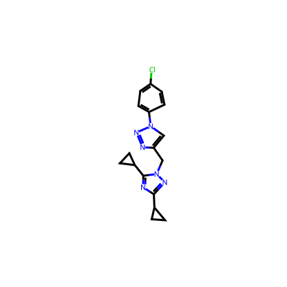 Clc1ccc(-n2cc(Cn3nc(C4CC4)nc3C3CC3)nn2)cc1